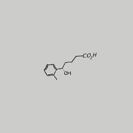 Cc1ccccc1[C@@H](O)CCCC(=O)O